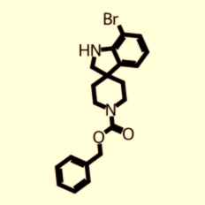 O=C(OCc1ccccc1)N1CCC2(CC1)CNc1c(Br)cccc12